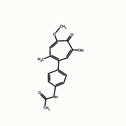 COc1cc(C)c(-c2ccc(NC(C)=O)cc2)cc(O)c1=O